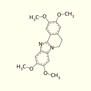 COc1cc2c(cc1OC)-c1nc3cc(OC)c(OC)cc3n1CC2